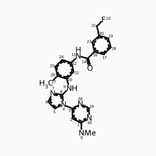 CNc1cc(-n2ccnc2Nc2cc(NC(=O)c3cccc(CF)c3)ccc2C)ncn1